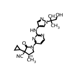 C[C@@H]1CN(c2ccnc(Nc3cnn(C(C)(C)CO)c3)n2)C(=O)[C@@]1(C#N)C1CC1